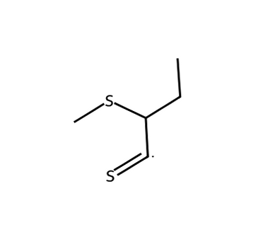 CCC([C]=S)SC